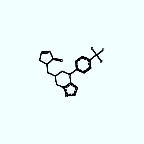 O=C1C=CCN1CC1CN(c2ccc(C(F)(F)F)cc2)c2ccnn2C1